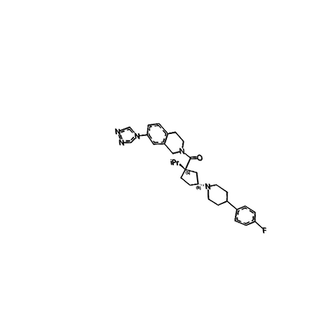 CC(C)[C@]1(C(=O)N2CCc3ccc(-n4cnnc4)cc3C2)CC[C@@H](N2CCC(c3ccc(F)cc3)CC2)C1